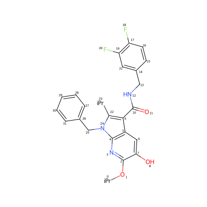 CC(C)Oc1nc2c(cc1O)c(C(=O)NCc1ccc(F)c(F)c1)c(C(C)C)n2Cc1ccccc1